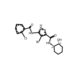 O=C(Nc1[nH]nc(C(=O)N[C@@H]2CCCC[C@H]2O)c1Br)c1ccccc1Cl